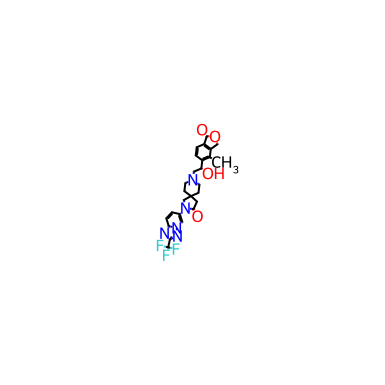 Cc1c([C@@H](O)CN2CCC3(CC2)CC(=O)N(c2ccc4nc(C(F)(F)F)nn4c2)C3)ccc2c1COC2=O